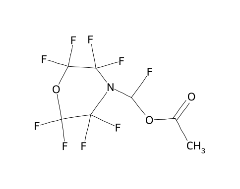 CC(=O)OC(F)N1C(F)(F)C(F)(F)OC(F)(F)C1(F)F